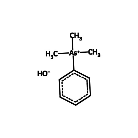 C[As+](C)(C)c1ccccc1.[OH-]